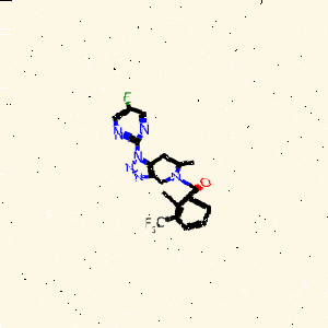 Cc1c(C(=O)N2Cc3nnn(-c4ncc(F)cn4)c3CC2C)cccc1C(F)(F)F